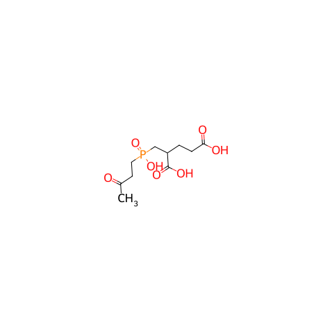 CC(=O)CCP(=O)(O)CC(CCC(=O)O)C(=O)O